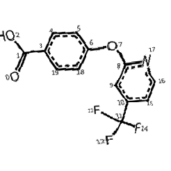 O=C(O)c1ccc(Oc2cc(C(F)(F)F)ccn2)cc1